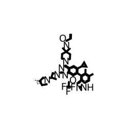 C=CC(=O)N1CC2(CCN(c3nc(N4CC(N5CC[C@H](C)C5)C4)nc4c(OCC(F)(F)F)c(-c5c(C)c(C)cc6[nH]ncc56)c(C5CC5)cc34)CC2)C1